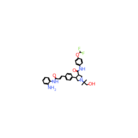 CC(C)(CO)N1CC(C(=O)Nc2ccc(OC(F)F)cc2)C(c2ccc(/C=C/C(=O)Nc3ccccc3N)cc2)C1